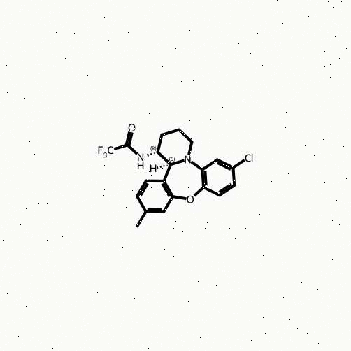 Cc1ccc2c(c1)Oc1ccc(Cl)cc1N1CCC[C@@H](NC(=O)C(F)(F)F)[C@H]21